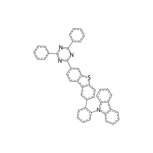 c1ccc(-c2nc(-c3ccccc3)nc(-c3ccc4c(c3)sc3ccc(-c5ccccc5-n5c6ccccc6c6ccccc65)cc34)n2)cc1